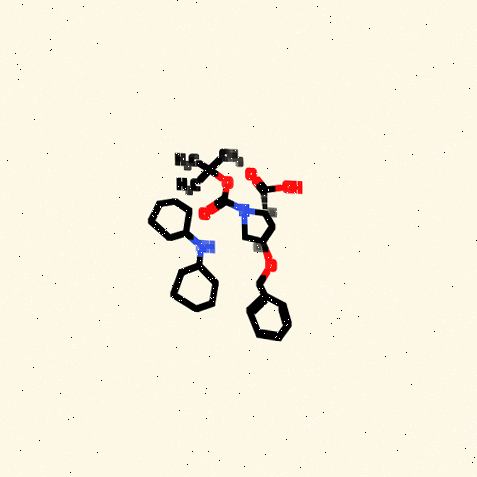 C1CCC(NC2CCCCC2)CC1.CC(C)(C)OC(=O)N1C[C@H](OCc2ccccc2)C[C@H]1C(=O)O